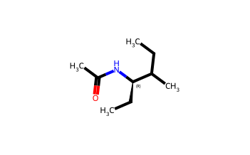 CCC(C)[C@@H](CC)NC(C)=O